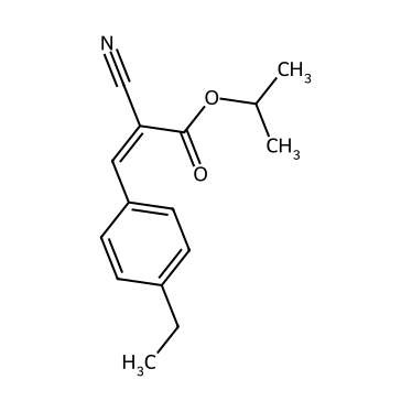 CCc1ccc(C=C(C#N)C(=O)OC(C)C)cc1